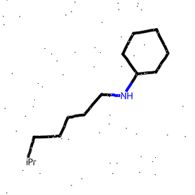 CC(C)CCCCCNC1CCCCC1